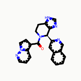 O=C(c1ccn2ncccc12)N1CCc2[nH]cnc2[C@H]1c1cc2ccccc2cn1